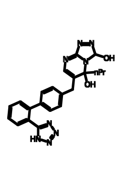 CCCC1(O)C(Cc2ccc(-c3ccccc3-c3nnn[nH]3)cc2)=CN=C2N=NC(O)N21